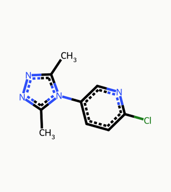 Cc1nnc(C)n1-c1ccc(Cl)nc1